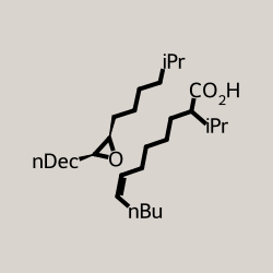 CCCC/C=C\CCCCC(C(=O)O)C(C)C.CCCCCCCCCC[C@@H]1O[C@@H]1CCCCC(C)C